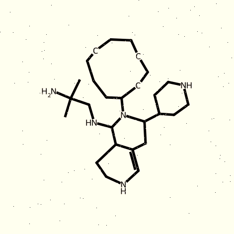 CC(C)(N)CNC1C2CCNC=C2CC(C2CCNCC2)N1C1CCCCCCCCC1